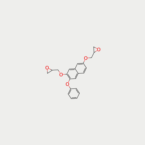 c1ccc(Oc2cc3ccc(OCC4CO4)cc3cc2OCC2CO2)cc1